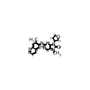 Cc1cc2nnccc2cc1Nc1ncc2c(n1)n(C1CCOC1)c(=O)n2C